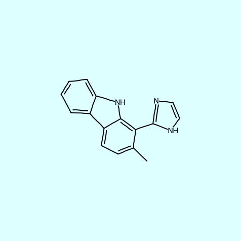 Cc1ccc2c([nH]c3ccccc32)c1-c1ncc[nH]1